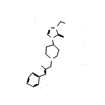 CCOC(=O)Cn1ncn(C2CCN(C/C(C)=C/c3ccccc3)CC2)c1=O